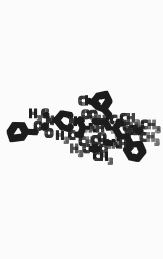 CC(C)[C@H](NC(=O)[C@@H](Cc1cccc(Cl)c1)C[C@H]([C@H](NC(=O)OC(C)(C)C)C(O[SiH](C)C)c1ccccc1)C(C)(C)C)C(=O)N1CCC(N(C)C(=O)OCc2ccccc2)CC1